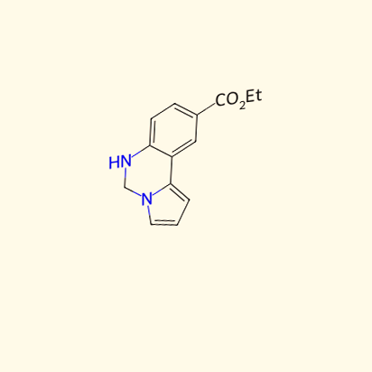 CCOC(=O)c1ccc2c(c1)-c1cccn1CN2